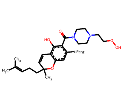 CCCCCc1cc2c(c(O)c1C(=O)N1CCN(CCOO)CC1)C=CC(C)(CCC=C(C)C)O2